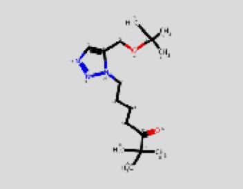 CC(C)(C)OCc1cnnn1CCCCC(=O)C(C)(C)C